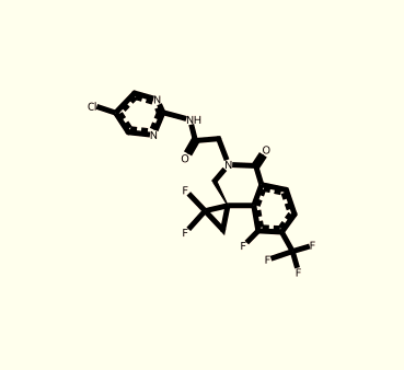 O=C(CN1C[C@]2(CC2(F)F)c2c(ccc(C(F)(F)F)c2F)C1=O)Nc1ncc(Cl)cn1